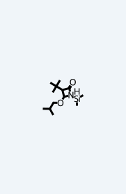 CC(C)COC1C(C(C)(C)C)C(=O)N1[SiH](C)C